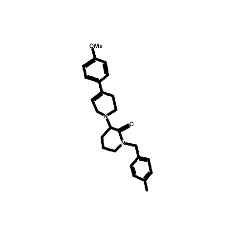 COc1ccc(C2=CCN(C3CCCN(Cc4ccc(C)cc4)C3=O)CC2)cc1